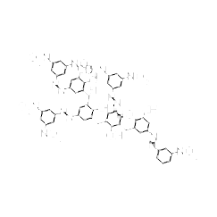 Cc1cc(N=Nc2cccc([N+](=O)[O-])c2)cc(Cc2cc(N=Nc3cc([N+](=O)[O-])cc([N+](=O)[O-])c3)cc(Cc3cc(N=Nc4cc([N+](=O)[O-])cc([N+](=O)[O-])c4)cc(Cc4cc(N=Nc5cc([N+](=O)[O-])cc([N+](=O)[O-])c5)cc(C)c4O)c3O)c2O)c1O